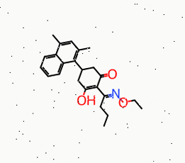 CCC/C(=N\OCC)C1=C(O)CC(c2c(C)cc(C)c3ccccc23)CC1=O